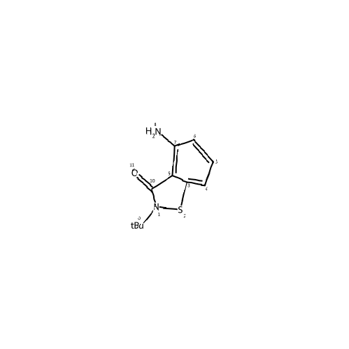 CC(C)(C)n1sc2cccc(N)c2c1=O